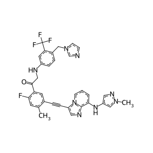 Cc1cc(F)c(C(=O)CNc2ccc(Cn3ccnc3)c(C(F)(F)F)c2)cc1C#Cc1cnc2c(Nc3cnn(C)c3)cccn12